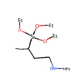 CCCNCCC(C)[Si](OCC)(OCC)OCC